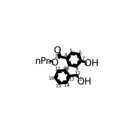 CCCOC(=O)c1ccc(O)cc1.OCc1ccccc1